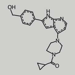 O=C(C1CC1)N1CCN(c2ccnc3[nH]c(-c4ccc(CO)cc4)cc23)CC1